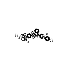 CN(C)S(=O)(=O)c1ccc(S(=O)(=O)n2nc(C3CCN(c4ccc(Cl)cc4F)CC3)c3ccccc32)cc1